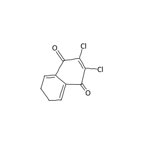 O=C1C2=CCCC=C2C(=O)C(Cl)=C1Cl